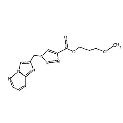 COCCCOC(=O)c1cn(Cc2cn3ncccc3n2)nn1